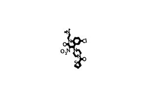 CN(C)CCn1c(=O)c([N+](=O)[O-])c(N2CCN(C(=O)c3cccs3)CC2)c2cc(Cl)ccc21